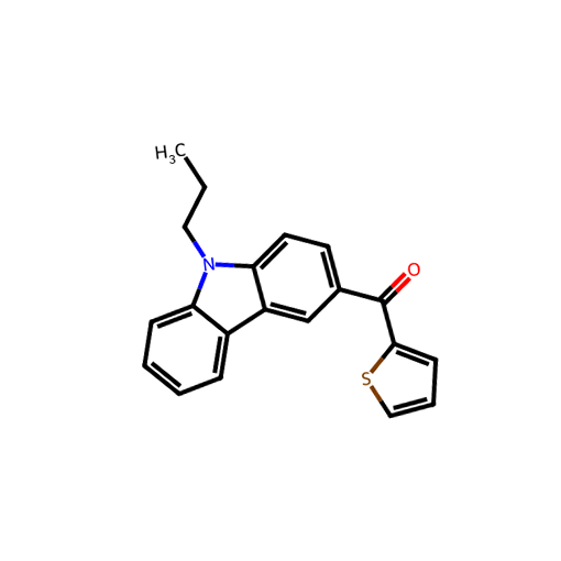 CCCn1c2ccccc2c2cc(C(=O)c3cccs3)ccc21